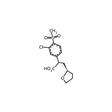 CS(=O)(=O)c1ccc(C(C[C@H]2CCCO2)C(=O)O)cc1Cl